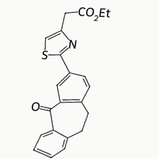 CCOC(=O)Cc1csc(-c2ccc3c(c2)C(=O)c2ccccc2CC3)n1